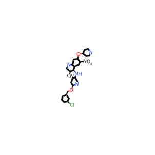 N#Cc1cnc2cc(Oc3ccncc3)c([N+](=O)[O-])cc2c1Nc1ccc(OCc2cccc(Cl)c2)nc1